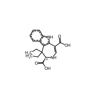 CCC1(CC)c2c([nH]c3ccccc23)C(C(=O)O)=CN[C@H]1C(=O)O